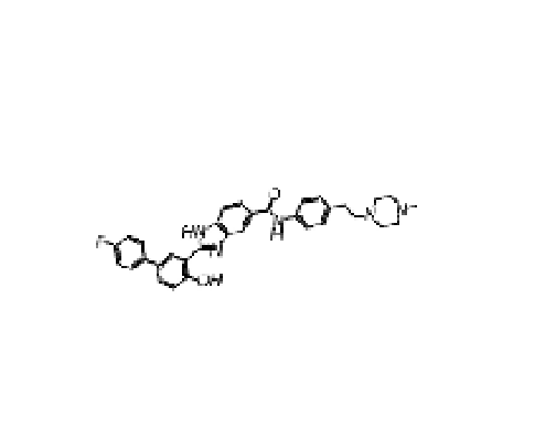 CN1CCN(CCc2ccc(NC(=O)c3ccc4[nH]c(-c5cc(-c6ccc(F)cc6)ccc5O)nc4c3)cc2)CC1